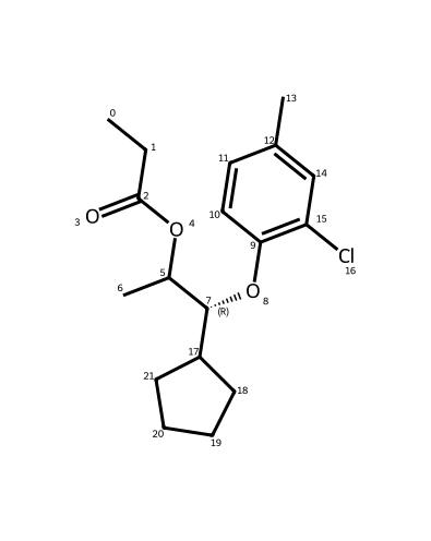 CCC(=O)OC(C)[C@H](Oc1ccc(C)cc1Cl)C1CCCC1